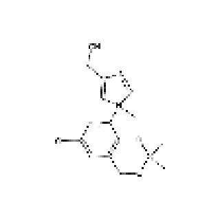 CC1(C)OCc2cc(Cl)cc([N+]3(C)C=NC(CO)=C3)c2O1